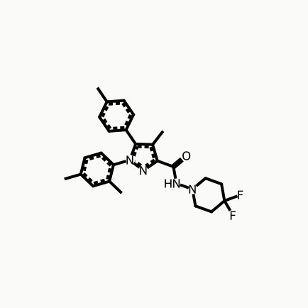 Cc1ccc(-c2c(C)c(C(=O)NN3CCC(F)(F)CC3)nn2-c2ccc(C)cc2C)cc1